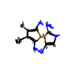 Cc1c(N)sc(N)c1C#N.Nc1cnc(N)s1